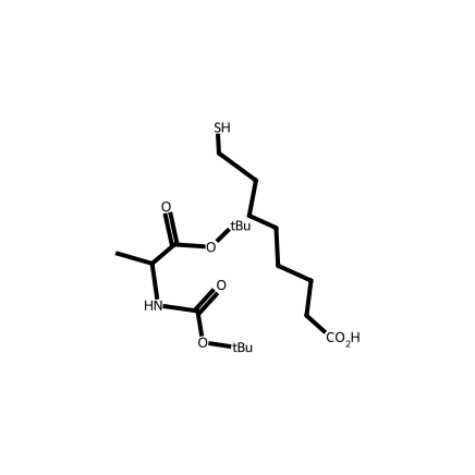 CC(NC(=O)OC(C)(C)C)C(=O)OC(C)(C)C.O=C(O)CCCCCCCS